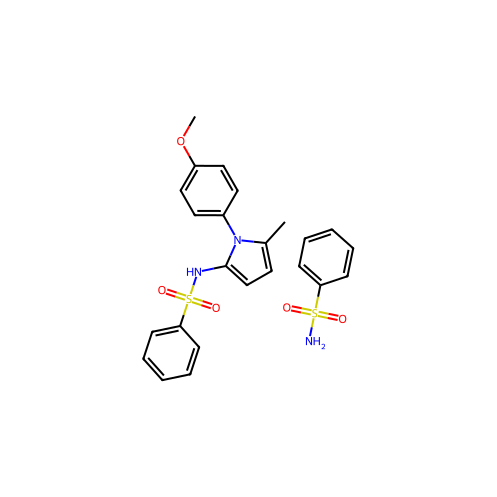 COc1ccc(-n2c(C)ccc2NS(=O)(=O)c2ccccc2)cc1.NS(=O)(=O)c1ccccc1